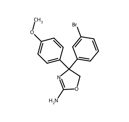 COc1ccc(C2(c3cccc(Br)c3)COC(N)=N2)cc1